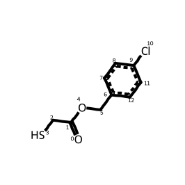 O=C(CS)OCc1ccc(Cl)cc1